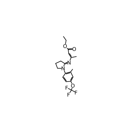 CCOC(=O)C=C(C)N=C1CCCN1c1ccc(OC(F)(F)F)cc1C